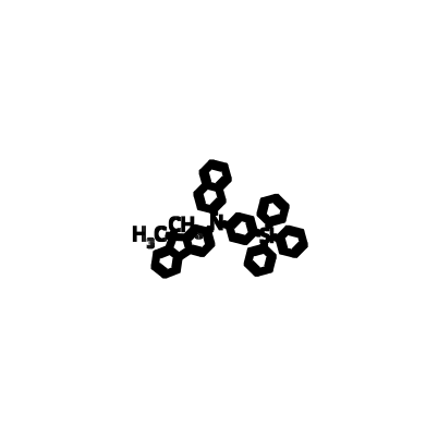 CC1(C)c2ccccc2-c2ccc(N(c3ccc([Si](c4ccccc4)(c4ccccc4)c4ccccc4)cc3)c3ccc4ccccc4c3)cc21